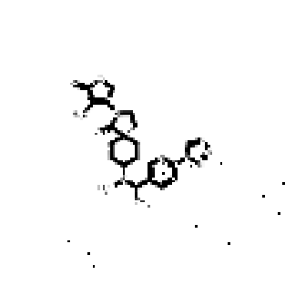 CC1=C(N2CC[C@]3(CC[C@H](N(C)[C@H](C)c4ccc(-n5cnnn5)nc4)CC3)C2=O)COC1=O